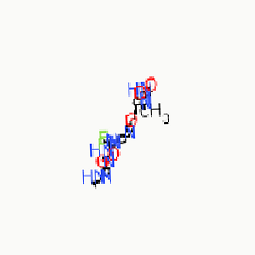 Cc1nn(C2CCC(=O)NC2=O)c2cccc(C#CCOC3CCN(CC4CCC(n5cc(NC(=O)c6coc(-c7ccnc(NCC8CC8)c7)n6)c(C(F)F)n5)CC4)CC3)c12